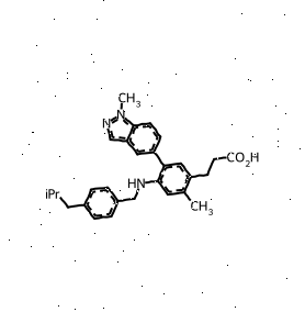 Cc1cc(NCc2ccc(CC(C)C)cc2)c(-c2ccc3c(cnn3C)c2)cc1CCC(=O)O